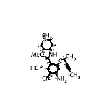 CC#C[C@H](C)Oc1cc(N)c(Cl)cc1C(=O)N[C@H]1CCN(C)C[C@H]1OC.Cl